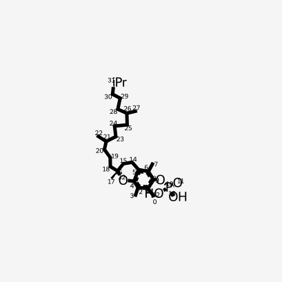 Cc1c(C)c2c(c(C)c1OP(=O)(O)O)CC[C@@](C)(CCCC(C)CCCC(C)CCCC(C)C)O2